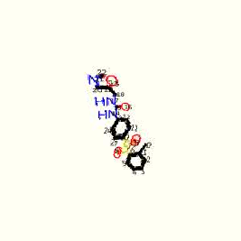 Cc1ccccc1S(=O)(=O)c1ccc(NC(=O)NCc2cnco2)cc1